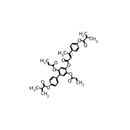 C=CC(=O)Oc1cc(-c2ccc(OC(=O)C(=C)C)cc2)c(OC(=O)C=C)cc1OC(=O)/C=C(\C)c1ccc(OC(=O)C(=C)C)cc1